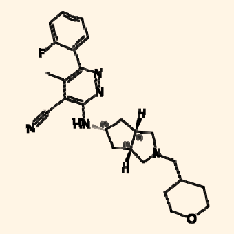 Cc1c(-c2ccccc2F)nnc(N[C@@H]2C[C@@H]3CN(CC4CCOCC4)C[C@@H]3C2)c1C#N